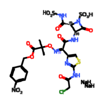 CC(C)(O/N=C(\C(=O)N[C@H]1C(=O)N(S(=O)(=O)O)[C@H]1C(=O)NS(=O)(=O)O)c1csc(NC(=O)CCl)n1)C(=O)OCc1ccc([N+](=O)[O-])cc1.[NaH].[NaH]